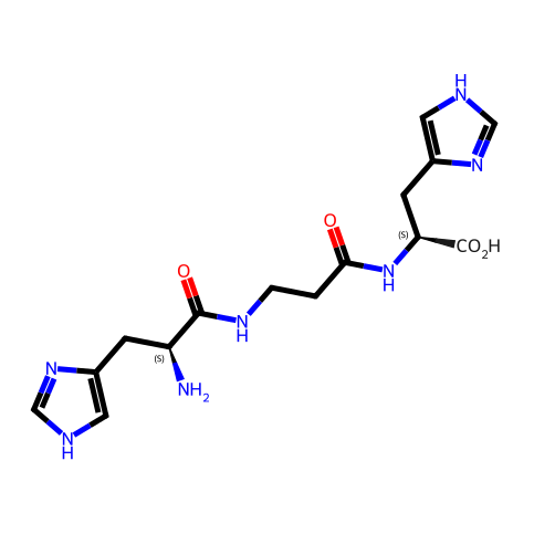 N[C@@H](Cc1c[nH]cn1)C(=O)NCCC(=O)N[C@@H](Cc1c[nH]cn1)C(=O)O